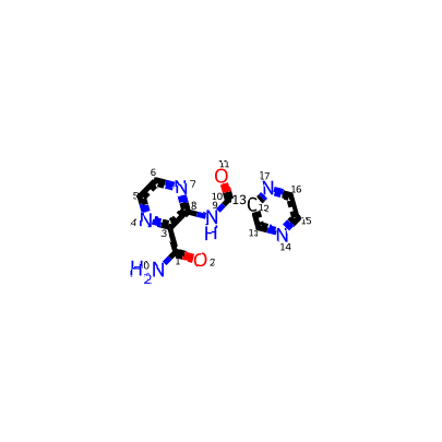 NC(=O)c1nccnc1NC(=O)[13c]1cnccn1